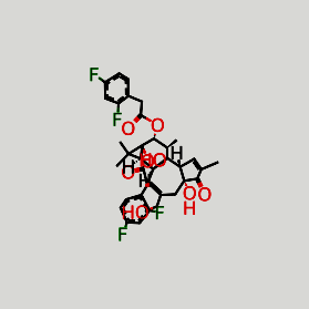 CC1=C[C@H]2[C@@]3(O)[C@H](C)[C@@H](OC(=O)Cc4ccc(F)cc4F)[C@]4(OC(=O)Cc5ccc(F)cc5F)[C@@H]([C@@H]3C=C(CO)C[C@]2(O)C1=O)C4(C)C